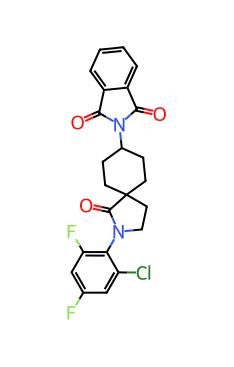 O=C1c2ccccc2C(=O)N1C1CCC2(CC1)CCN(c1c(F)cc(F)cc1Cl)C2=O